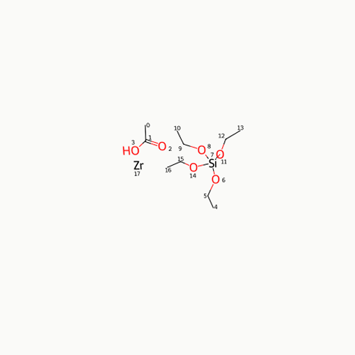 CC(=O)O.CCO[Si](OCC)(OCC)OCC.[Zr]